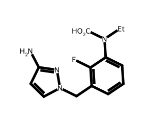 CCN(C(=O)O)c1cccc(Cn2ccc(N)n2)c1F